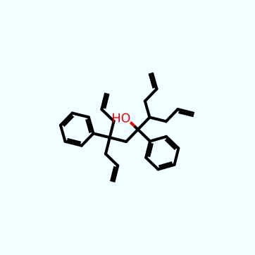 C=CCC(CC=C)C(O)(CC(CC=C)(CC=C)c1ccccc1)c1ccccc1